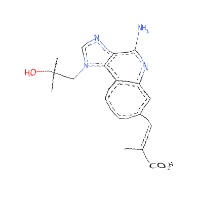 CC(=Cc1ccc2c(c1)nc(N)c1ncn(CC(C)(C)O)c12)C(=O)O